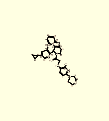 O=C(COc1ccc(N2CCOCC2)nc1Cl)N1CCc2nc3ccccn3c2C1c1ncc(C2CC2)cc1F